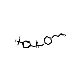 O=[C]CCN1CCN(CC(=O)Nc2ccc(C(F)(F)F)cc2)CC1